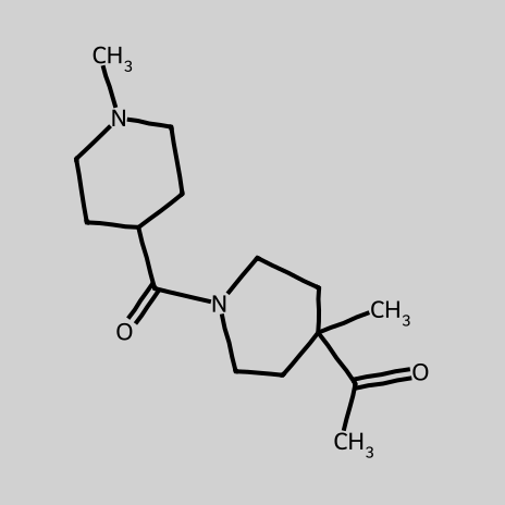 CC(=O)C1(C)CCN(C(=O)C2CCN(C)CC2)CC1